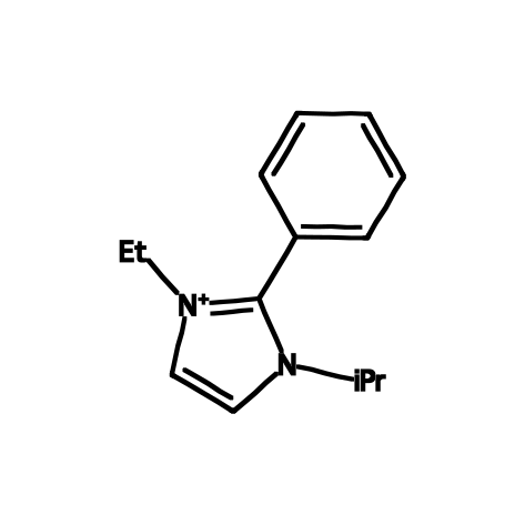 CC[n+]1ccn(C(C)C)c1-c1ccccc1